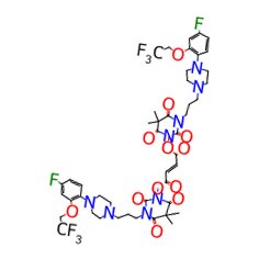 CC1(C)C(=O)N(CCCN2CCN(c3ccc(F)cc3OCC(F)(F)F)CC2)C(=O)N(OC(=O)/C=C/C(=O)ON2C(=O)N(CCCN3CCN(c4ccc(F)cc4OCC(F)(F)F)CC3)C(=O)C(C)(C)C2=O)C1=O